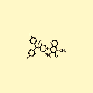 CC1CN(c2c(C#N)c(=O)n(C)c3cccnc23)[C@@H](C)CN1C(c1ccc(F)cc1)c1ccc(F)cc1